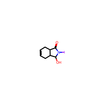 O=C1C2CC=CCC2C(O)N1I